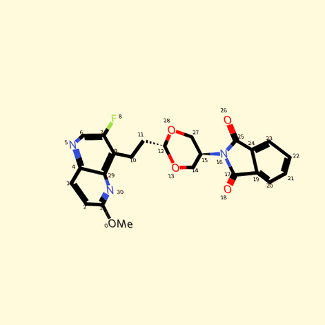 COc1ccc2ncc(F)c(CC[C@H]3OC[C@H](N4C(=O)c5ccccc5C4=O)CO3)c2n1